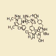 Cc1ncsc1-c1ccc([C@H](C)NC(=O)[C@@H]2C[C@@H](O)CN2C(=O)[C@@H](NC(=O)Cc2ccc(-c3cn(CCNC(=O)C[C@@H]4N=C(c5ccc(Cl)cc5)c5c(sc(C)c5C)-n5c(C)nnc54)cn3)cc2)C(C)(C)C)cc1